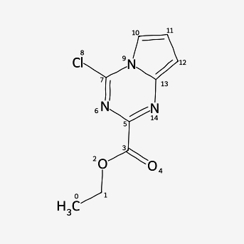 CCOC(=O)c1nc(Cl)n2cccc2n1